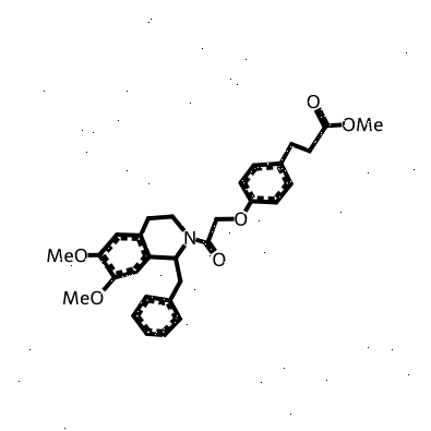 COC(=O)CCc1ccc(OCC(=O)N2CCc3cc(OC)c(OC)cc3C2Cc2ccccc2)cc1